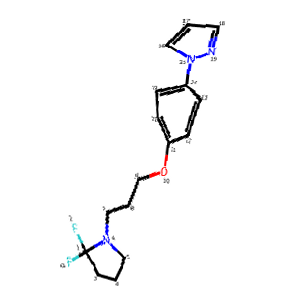 FC1(F)CCCN1CCCOc1ccc(-n2c[c]cn2)cc1